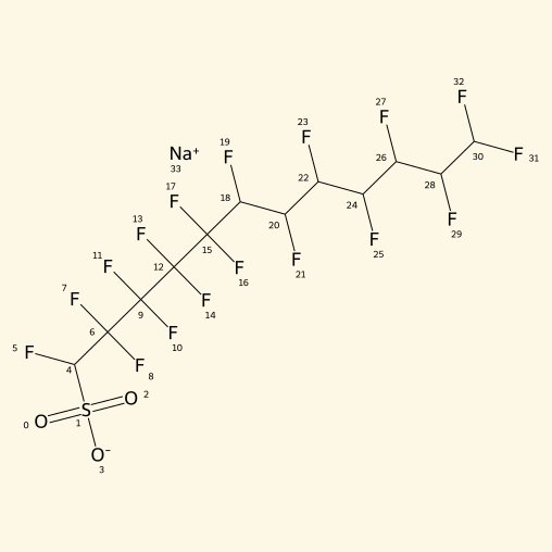 O=S(=O)([O-])C(F)C(F)(F)C(F)(F)C(F)(F)C(F)(F)C(F)C(F)C(F)C(F)C(F)C(F)C(F)F.[Na+]